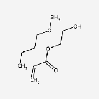 C=CC(=O)OCCO.CCCCO[SiH3]